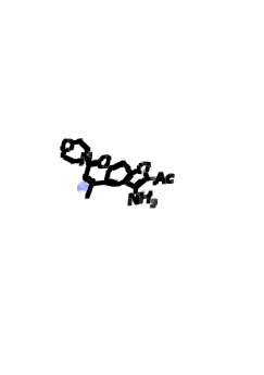 CC(=O)c1oc2ccc(/C(C)=C\C(=O)N3CCOCC3)cc2c1N